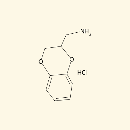 Cl.NCC1COc2ccccc2O1